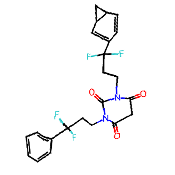 O=C1CC(=O)N(CCC(F)(F)c2ccccc2)C(=O)N1CCC(F)(F)C1=CC2CC2C=C1